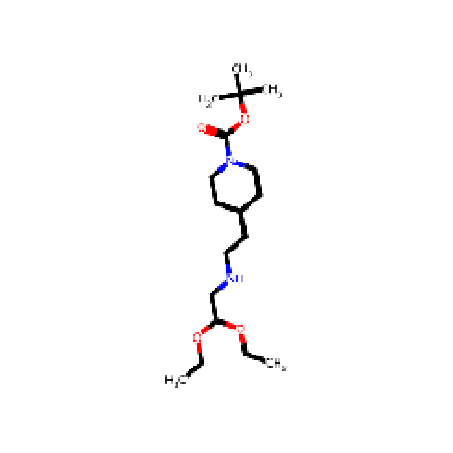 CCOC(CNCCC1CCN(C(=O)OC(C)(C)C)CC1)OCC